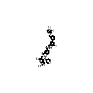 CCc1nc2c(cnn2CC)c(NC2CCOCC2)c1CNC(=O)c1cccc(C(=O)NCc2cc(Cl)cc(-c3cccc(CN4C[C@@H]5CC4CN5)c3)c2)c1